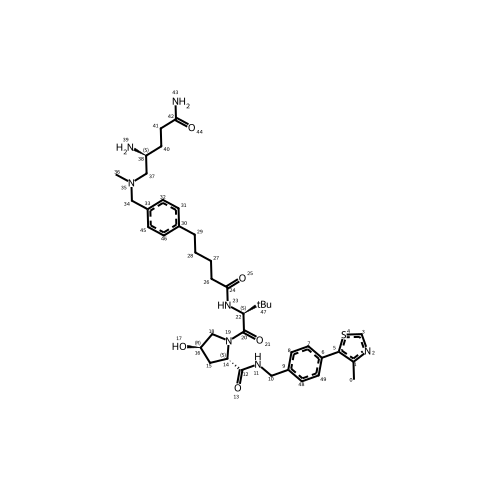 Cc1ncsc1-c1ccc(CNC(=O)[C@@H]2C[C@@H](O)CN2C(=O)[C@@H](NC(=O)CCCCc2ccc(CN(C)C[C@@H](N)CCC(N)=O)cc2)C(C)(C)C)cc1